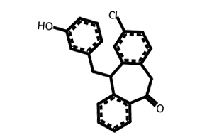 O=C1Cc2ccc(Cl)cc2C(Cc2cccc(O)c2)c2ccccc21